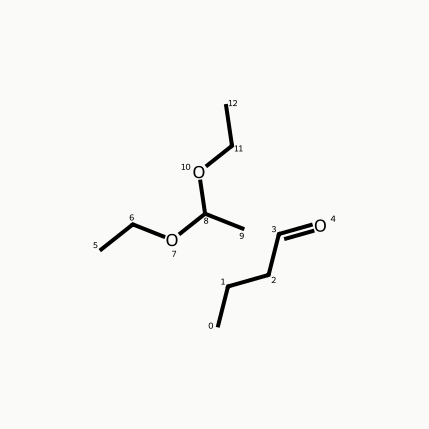 CCCC=O.CCOC(C)OCC